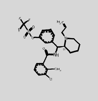 C=CCN1CCCC[C@H]1C(NC(=O)c1cccc(Cl)c1C)c1cccc(OS(=O)(=O)C(F)(F)F)c1